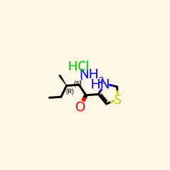 CC[C@@H](C)[C@H](N)C(=O)C1=CSCN1.Cl